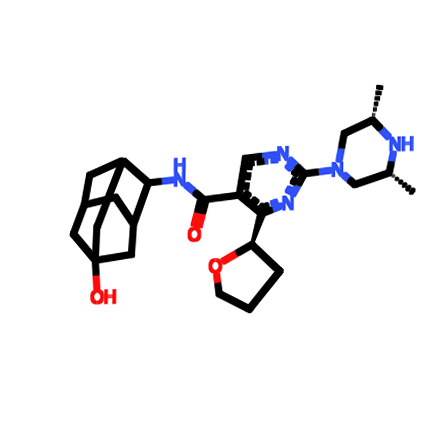 C[C@@H]1CN(c2ncc(C(=O)NC3C4CC5CC3CC(O)(C5)C4)c([C@H]3CCCO3)n2)C[C@H](C)N1